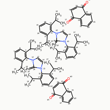 CC(C)c1cccc(C(C)C)c1-n1ccn(-c2c(C(C)C)cccc2C(C)C)[c]1=[Pd].CC(C)c1cccc(C(C)C)c1-n1ccn(-c2c(C(C)C)cccc2C(C)C)[c]1=[Pd].O=C1C=CC(=O)c2ccccc21.O=C1C=CC(=O)c2ccccc21